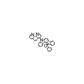 O=P1(c2ccccc2)c2ccccc2-c2ccc3c(c21)c1ccccc1n3-c1ccnc2c1ccc1cccnc12